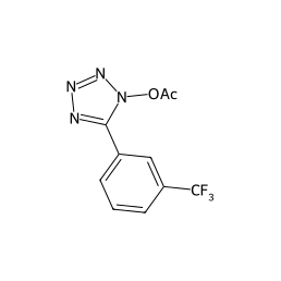 CC(=O)On1nnnc1-c1cccc(C(F)(F)F)c1